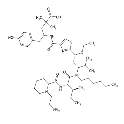 CCCCCCN(C(=O)[C@@H](NC(=O)C1CCCCN1CCN)[C@@H](C)CC)[C@H](C[C@@H](OCC)c1nc(C(=O)NC(Cc2ccc(O)cc2)CC(C)(C)C(=O)O)cs1)C(C)C